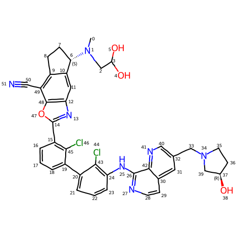 CN(CC(O)O)[C@H]1CCc2c1cc1nc(-c3cccc(-c4cccc(Nc5nccc6cc(CN7CC[C@@H](O)C7)cnc56)c4Cl)c3Cl)oc1c2C#N